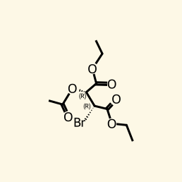 CCOC(=O)[C@@H](OC(C)=O)[C@@H](Br)C(=O)OCC